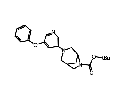 CC(C)(C)OC(=O)N1CC2CC1CN(c1cncc(Oc3ccccc3)c1)C2